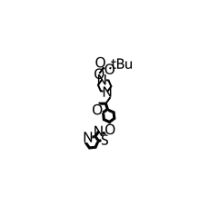 CC(C)(C)OC(=O)ON1CCN(Cc2coc3cc(Oc4nc5ncccc5s4)ccc23)CC1